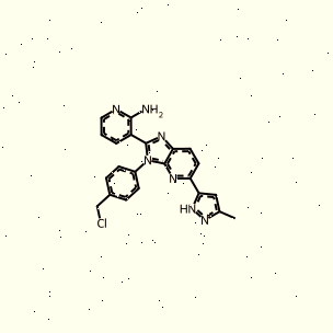 Cc1cc(-c2ccc3nc(-c4cccnc4N)n(-c4ccc(CCl)cc4)c3n2)[nH]n1